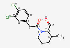 C[C@H]1CCCN(C(=O)Cc2ccc(Cl)c(Cl)c2)[C@H]1C=O